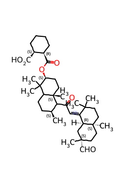 C[C@H]1CCC2C(C)(C)[C@@H](OC(=O)[C@@H]3CCCC[C@@H]3C(=O)O)CC[C@]2(C)C1C(=O)/C=C1/[C@@H]2C[C@@](C)(C=O)CC[C@]2(C)CCC1(C)C